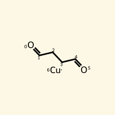 O=CCCC=O.[Cu]